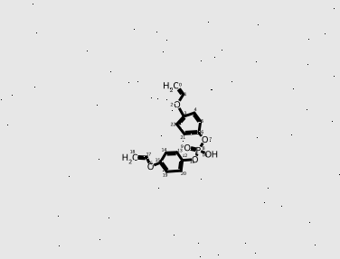 C=COc1ccc(OP(=O)(O)Oc2ccc(OC=C)cc2)cc1